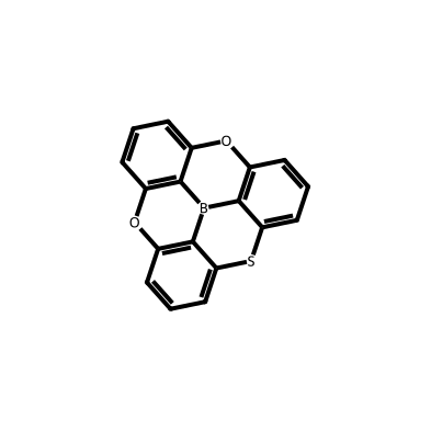 c1cc2c3c(c1)Oc1cccc4c1B3c1c(cccc1S4)O2